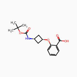 CC(C)(C)OC(=O)N[C@H]1C[C@@H](Oc2ccccc2C(=O)O)C1